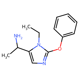 CCn1c(C(C)N)cnc1Oc1ccccc1